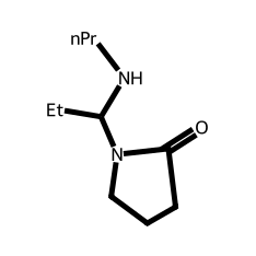 CCCNC(CC)N1CCCC1=O